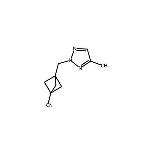 Cc1cnn(CC23CC(C#N)(C2)C3)n1